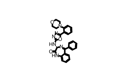 O=C1Nc2ccccc2C(c2ccccc2)=N[C@H]1Nc1nnc(-c2ccccc2N2CCOCC2)o1